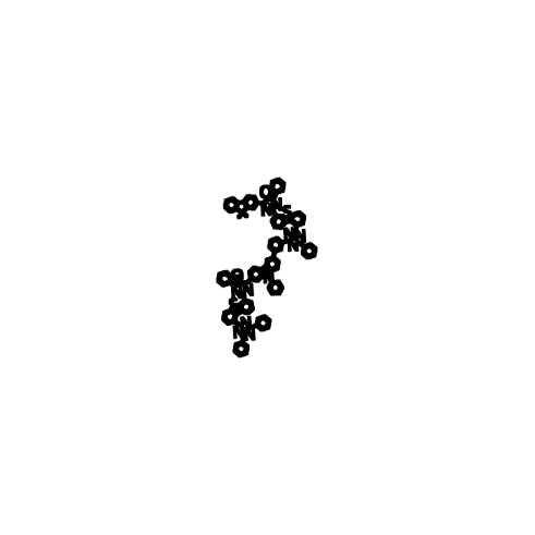 CC1(C)c2ccccc2-c2ccc(-c3nc(-c4cccc5c4sc4cccc(-c6nc(-c7ccccc7)nc(-c7cccc(-c8ccc9c(c8)c8ccc(-c%10nc(-c%11cccc%12c%11sc%11cccc(-c%13nc(-c%14ccccc%14)nc(-c%14ccccc%14)n%13)c%11%12)nc%11c%10oc%10ccccc%10%11)cc8n9-c8ccccc8)c7)n6)c45)nc4c3oc3ccccc34)cc21